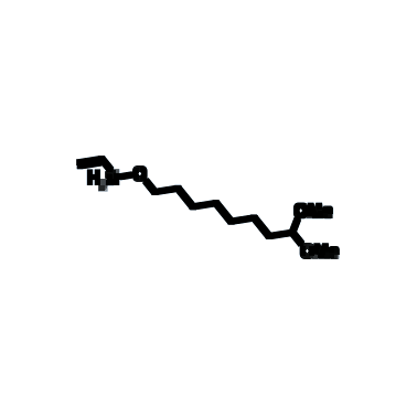 C=C[SiH2]OCCCCCCCC(OC)OC